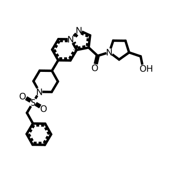 O=C(c1cnn2ccc(C3CCN(S(=O)(=O)Cc4ccccc4)CC3)cc12)N1CCC(CO)C1